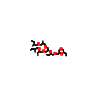 CCC(C)COCC(C)COCC(COCC(CC)OCC(C)CC)OC(CC)COCC1COCC(CC)O1